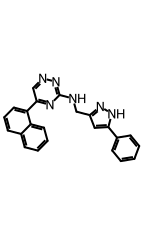 c1ccc(-c2cc(CNc3nncc(-c4cccc5ccccc45)n3)n[nH]2)cc1